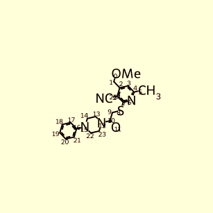 COCc1cc(C)nc(SCC(=O)N2CCN(c3ccccc3)CC2)c1C#N